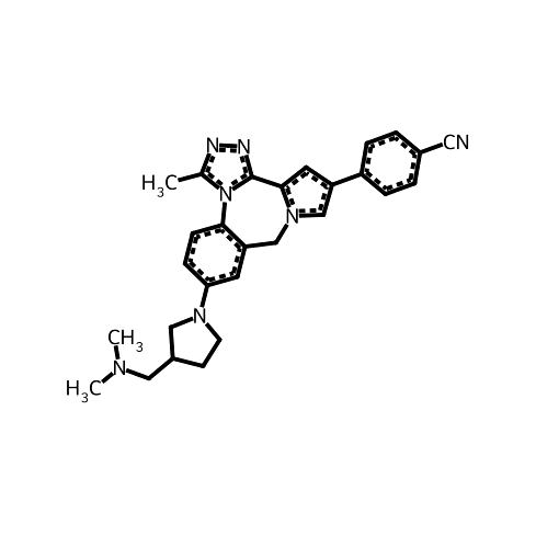 Cc1nnc2n1-c1ccc(N3CCC(CN(C)C)C3)cc1Cn1cc(-c3ccc(C#N)cc3)cc1-2